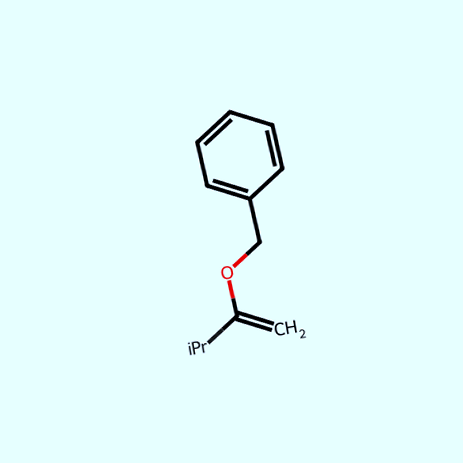 C=C(OCc1ccccc1)C(C)C